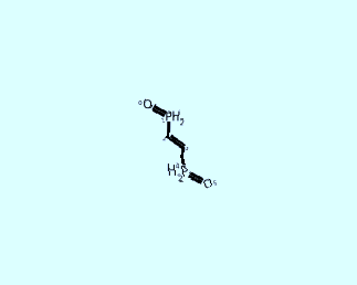 O=[PH2]C=C[PH2]=O